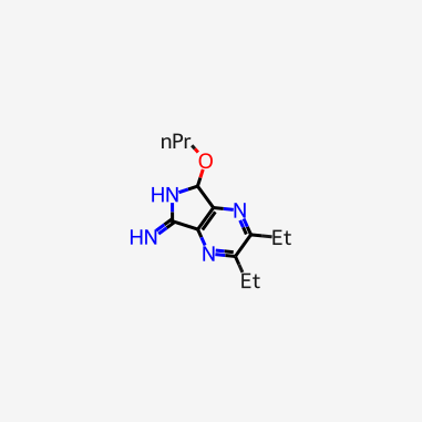 CCCOC1NC(=N)c2nc(CC)c(CC)nc21